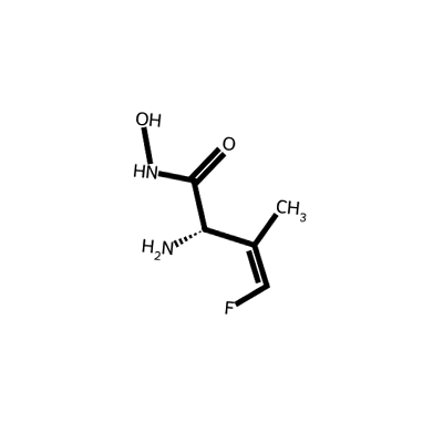 C/C(=C/F)[C@H](N)C(=O)NO